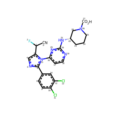 N#CC(F)c1cnc(-c2ccc(Cl)c(Cl)c2)n1-c1ccnc(N[C@H]2CCCN(C(=O)O)C2)n1